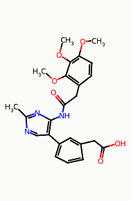 COc1ccc(CC(=O)Nc2nc(C)ncc2-c2cccc(CC(=O)O)c2)c(OC)c1OC